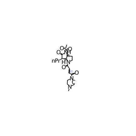 CCCC1C(=O)N(S(C)(=O)=O)[C@@H]2CCN(C(=O)/C=C/C(=O)N3CCN(C)CC3)[C@@H]12